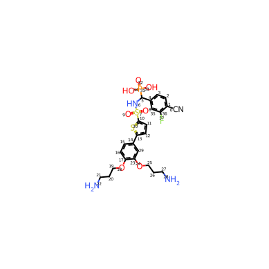 N#Cc1ccc(C(NS(=O)(=O)c2ccc(-c3ccc(OCCCN)c(OCCCN)c3)s2)P(=O)(O)O)cc1F